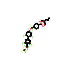 CCCC12COC(C3CCC(C(F)(F)OC4=C[C@H](F)C(c5cc(F)c(C(F)(F)OC(F)(F)F)c(F)c5)C(F)=C4)CC3)(OC1)O2